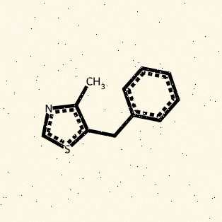 Cc1ncsc1Cc1ccccc1